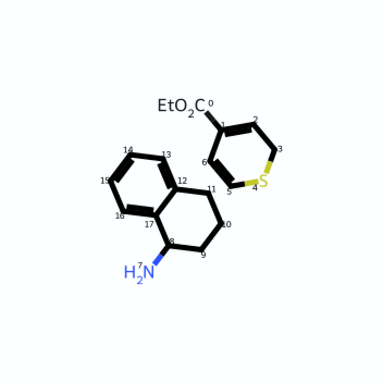 CCOC(=O)C1=CCSC=C1.NC1CCCc2ccccc21